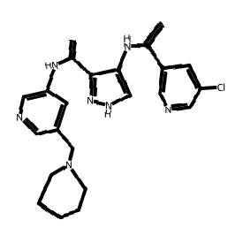 C=C(Nc1c[nH]nc1C(=C)Nc1cncc(CN2CCCCC2)c1)c1cncc(Cl)c1